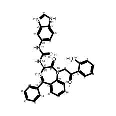 Cc1ccccc1C(=O)CN1C(=O)[C@H](NC(=O)Nc2ccc3[nH]cnc3c2)N=C(c2ccccc2)c2ccccc21